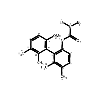 CCN(CC)C(=O)Oc1ccc(C)c(C)c1-c1c(OC)ccc(C)c1C